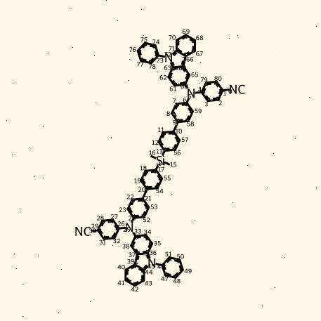 [C-]#[N+]c1ccc(N(c2ccc(-c3ccc([Si](C)(C)c4ccc(-c5ccc(N(c6ccc(C#N)cc6)c6ccc7c(c6)c6ccccc6n7-c6ccccc6)cc5)cc4)cc3)cc2)c2ccc3c(c2)c2ccccc2n3-c2ccccc2)cc1